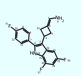 NC=C1CC(c2c(-c3ccc(F)cc3)[nH]c3c(F)cc(F)cc23)C1